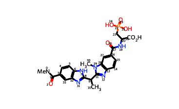 CNC(=O)c1ccc2[nH]c(C(C)c3nc4ccc(C(=O)NC(CP(=O)(O)O)C(=O)O)cc4n3C)nc2c1